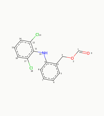 O=COCc1ccccc1Nc1c(Cl)cccc1Cl